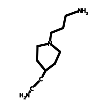 NCCCN1CCC(CCN)CC1